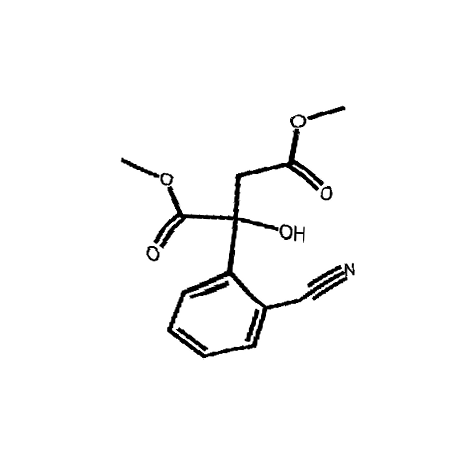 COC(=O)CC(O)(C(=O)OC)c1ccccc1C#N